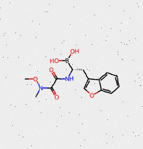 CON(C)C(=O)C(=O)N[C@@H](Cc1coc2ccccc12)B(O)O